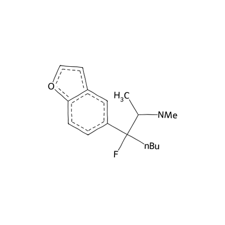 CCCCC(F)(c1ccc2occc2c1)C(C)NC